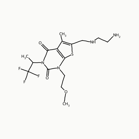 COCCn1c(=O)n(C(C)C(F)(F)F)c(=O)c2c(C)c(CNCCN)sc21